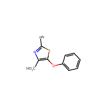 CCCc1nc(C(=O)O)c(Oc2ccccc2)s1